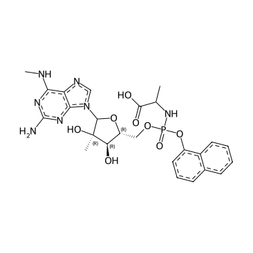 CNc1nc(N)nc2c1ncn2C1O[C@H](COP(=O)(NC(C)C(=O)O)Oc2cccc3ccccc23)[C@@H](O)[C@@]1(C)O